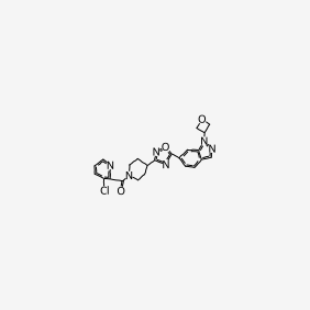 O=C(c1ncccc1Cl)N1CCC(c2noc(-c3ccc4cnn(C5COC5)c4c3)n2)CC1